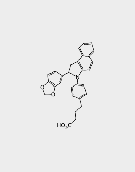 O=C(O)CCCc1ccc(N2c3ccc4ccccc4c3CC2c2ccc3c(c2)OCO3)cc1